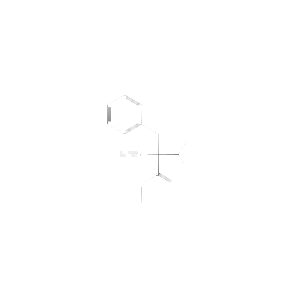 C#[N+]C(Cc1ccccc1)(C(=O)OC)C(F)F